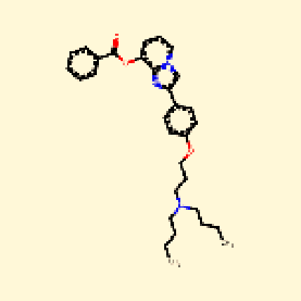 CCCCN(CCCC)CCCOc1ccc(-c2cn3cccc(OC(=O)c4ccccc4)c3n2)cc1